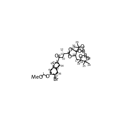 COCOc1cc2sc(C(=O)C[C@H](C)C(=O)OC3CC4(C)OB(OC4(C)C)B4OC(C)(C)C3(C)O4)cc2cc1Br